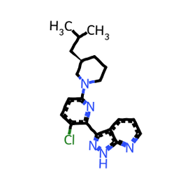 CC(C)C[C@H]1CCCN(c2ccc(Cl)c(-c3n[nH]c4ncccc34)n2)C1